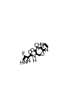 CN1C(=O)[C@@H](NC(=O)c2n[nH]cc2F)COc2nccnc21